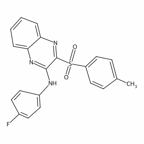 Cc1ccc(S(=O)(=O)c2nc3ccccc3nc2Nc2ccc(F)cc2)cc1